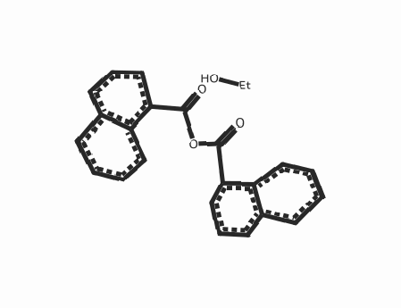 CCO.O=C(OC(=O)c1cccc2ccccc12)c1cccc2ccccc12